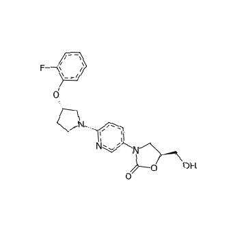 O=C1O[C@H](CO)CN1c1ccc(N2CC[C@H](Oc3ccccc3F)C2)nc1